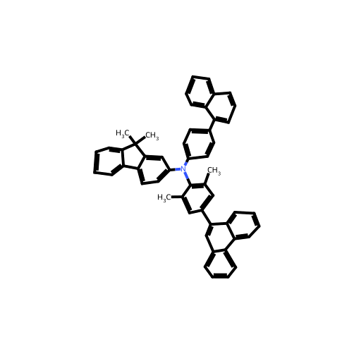 Cc1cc(-c2cc3ccccc3c3ccccc23)cc(C)c1N(c1ccc(-c2cccc3ccccc23)cc1)c1ccc2c(c1)C(C)(C)c1ccccc1-2